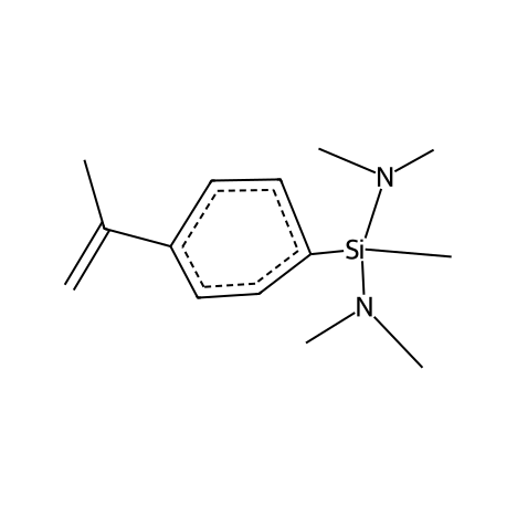 C=C(C)c1ccc([Si](C)(N(C)C)N(C)C)cc1